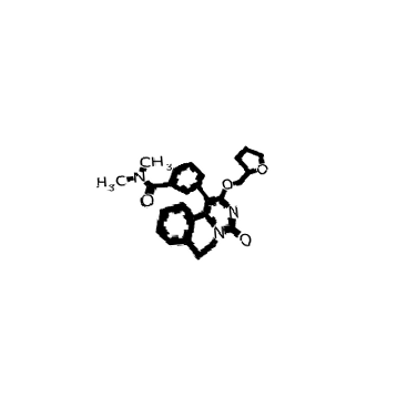 CN(C)C(=O)c1cccc(-c2c(OCC3CCCO3)nc(=O)n3c2-c2ccccc2CC3)c1